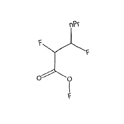 CCCC(F)C(F)C(=O)OF